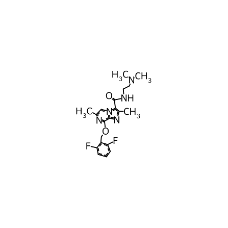 Cc1cn2c(C(=O)NCCN(C)C)c(C)nc2c(OCc2c(F)cccc2F)n1